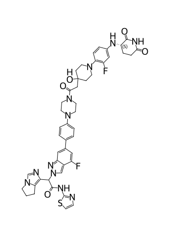 O=C1CC[C@H](Nc2ccc(N3CCC(O)(CC(=O)N4CCN(c5ccc(-c6cc(F)c7cn(C(C(=O)Nc8nccs8)c8ncn9c8CCC9)nc7c6)cc5)CC4)CC3)c(F)c2)C(=O)N1